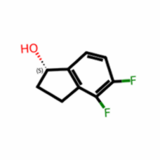 O[C@H]1CCc2c1ccc(F)c2F